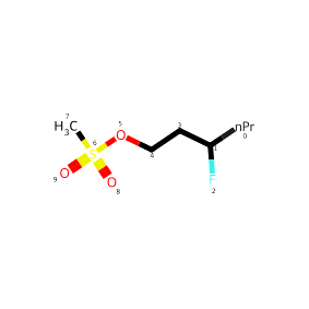 CCCC(F)CCOS(C)(=O)=O